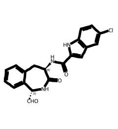 O=C[C@H]1NC(=O)[C@H](NC(=O)c2cc3cc(Cl)ccc3[nH]2)Cc2ccccc21